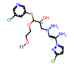 CCOCCOC(Sc1cncc(Cl)c1)[C@@H](O)CN(N)/C=C(\N)n1ccc(Cl)n1